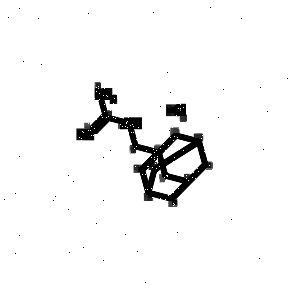 Cl.N=C(N)NCC12CC3CC(CC(C3)C1)C2